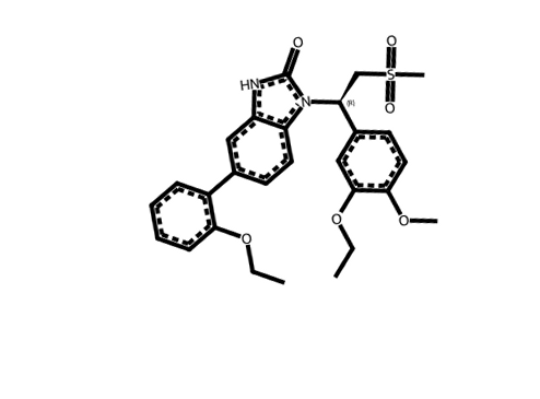 CCOc1cc([C@H](CS(C)(=O)=O)n2c(=O)[nH]c3cc(-c4ccccc4OCC)ccc32)ccc1OC